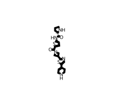 O=C(Nc1ccc(C(=O)N2CC(c3ncc(C4=CCNCC4)s3)C2)s1)[C@@H]1CCCN1